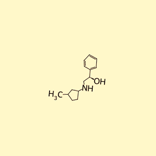 CC1CCC(NC[C@H](O)c2ccccc2)C1